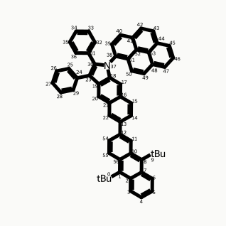 CC(C)(C)c1c2ccccc2c(C(C)(C)C)c2cc(-c3ccc4cc5c(cc4c3)c(-c3ccccc3)c(-c3ccccc3)n5-c3ccc4ccc5cccc6ccc3c4c56)ccc12